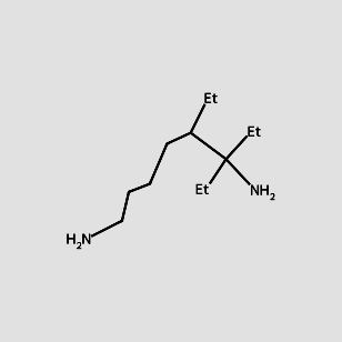 CCC(CCCCN)C(N)(CC)CC